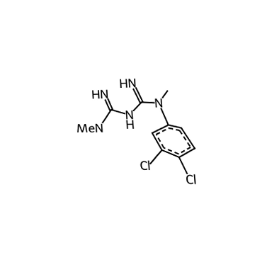 CNC(=N)NC(=N)N(C)c1ccc(Cl)c(Cl)c1